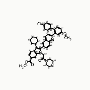 COC(=O)c1ccc2c(C3CCCCC3)c(-c3ccc4nc(-c5cc(OC)ccc5-c5ccc(Cl)cc5)ccc4c3)n(CC(=O)N3CCOCC3)c2c1